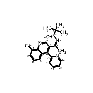 C/C(=N/[S+]([O-])C(C)(C)C)c1cnc2c(Cl)cccc2c1-c1ccccn1